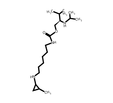 CC(C)N[C@@H](COC(=O)NCCCCCCNC1CC1C)C(C)C